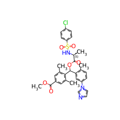 COC(=O)c1cc(C)c(C(OC(=O)[C@H](C)NS(=O)(=O)c2ccc(Cl)cc2)c2cc(-n3ccnc3)ccc2C)c(C)c1